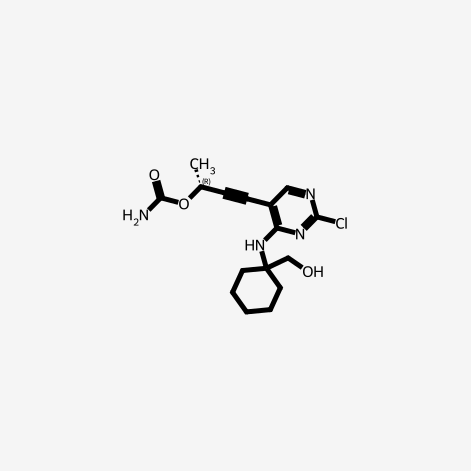 C[C@H](C#Cc1cnc(Cl)nc1NC1(CO)CCCCC1)OC(N)=O